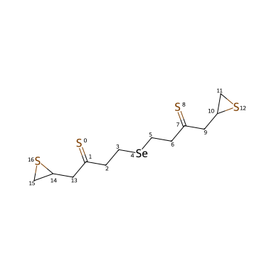 S=C(CC[Se]CCC(=S)CC1CS1)CC1CS1